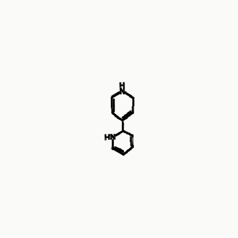 C1=CNC(C2=CCNC=C2)C=C1